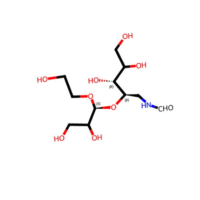 O=CNC[C@@H](O[C@H](OCCO)C(O)CO)[C@H](O)C(O)CO